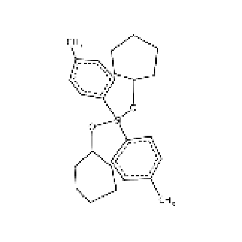 Cc1ccc([Si](OC2CCCCC2)(OC2CCCCC2)c2ccc(C)cc2)cc1